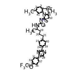 Cc1ccc(C(C)C)c(-n2c(C)cs/c2=N\C(=O)NC(C)CCCc2ccc(-c3ncn(-c4ccc(OC(F)(F)F)cc4)n3)cc2)c1